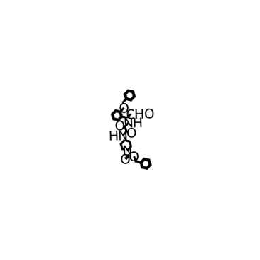 O=CC(NC(=O)C(=O)NC1CCN(C(=O)OCc2ccccc2)CC1)c1ccccc1OCc1ccccc1